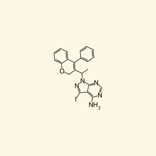 CC(C1=C(c2ccccc2)c2ccccc2OC1)n1nc(I)c2c(N)ncnc21